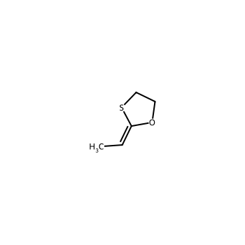 CC=C1OCCS1